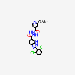 COc1cc(C(=O)NNC(=O)c2ccc3nc(-c4c(Cl)cccc4Cl)[nH]c3c2)ccn1